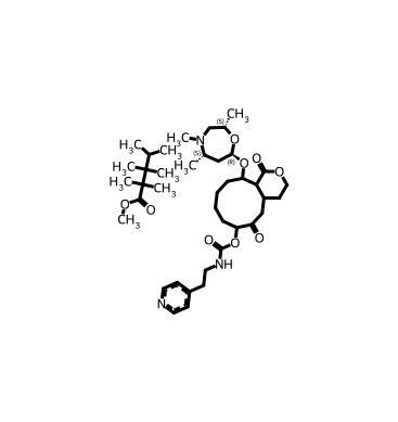 COC(=O)C(C)(C)C(C)(C)C(C)C.C[C@H]1CN(C)[C@@H](C)C[C@H](OC2CCCCC(OC(=O)NCCc3ccncc3)C(=O)CC3CCOC(=O)C32)O1